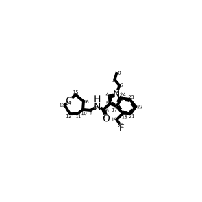 CCCn1cc(C(=O)NCC2CCCCCC2)c2c(CF)cccc21